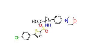 O=C(O)[C@@]1(NS(=O)(=O)c2ccc(-c3ccc(Cl)cc3)s2)C[C@H]1c1ccc(N2CCOCC2)cc1